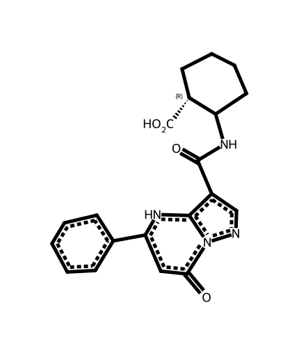 O=C(NC1CCCC[C@H]1C(=O)O)c1cnn2c(=O)cc(-c3ccccc3)[nH]c12